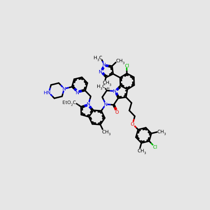 CCOC(=O)c1cc2cc(C)cc(N3C[C@@H](C)n4c(c(CCCOc5cc(C)c(Cl)c(C)c5)c5ccc(Cl)c(-c6c(C)nn(C)c6C)c54)C3=O)c2n1Cc1cccc(N2CCNCC2)n1